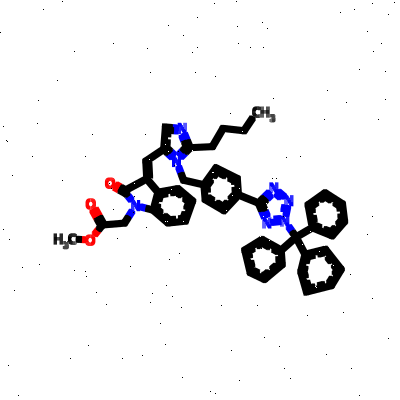 CCCCc1ncc(/C=C2/C(=O)N(CC(=O)OC)c3ccccc32)n1Cc1ccc(-c2nnn(C(c3ccccc3)(c3ccccc3)c3ccccc3)n2)cc1